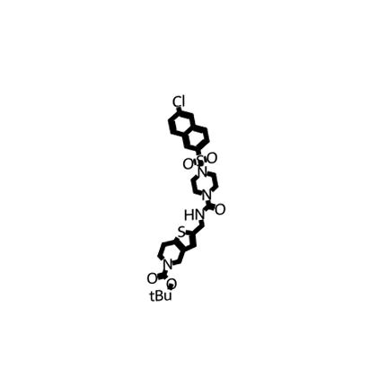 CC(C)(C)OC(=O)N1CCc2sc(CNC(=O)N3CCN(S(=O)(=O)c4ccc5cc(Cl)ccc5c4)CC3)cc2C1